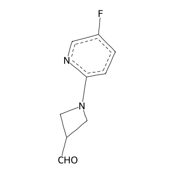 O=CC1CN(c2ccc(F)cn2)C1